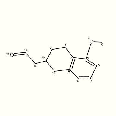 COc1cccc2c1CCC(CC=O)C2